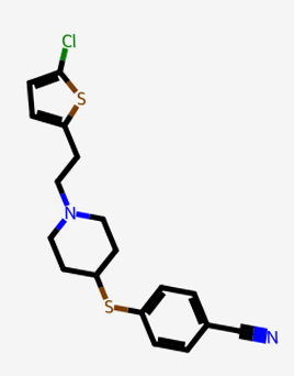 N#Cc1ccc(SC2CCN(CCc3ccc(Cl)s3)CC2)cc1